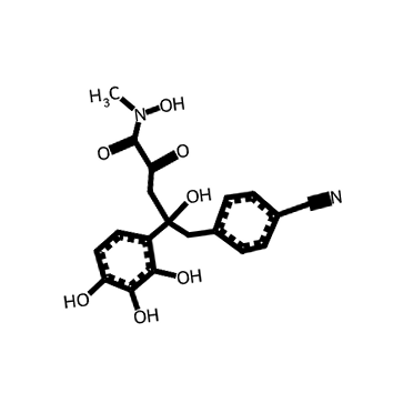 CN(O)C(=O)C(=O)CC(O)(Cc1ccc(C#N)cc1)c1ccc(O)c(O)c1O